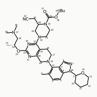 Cc1ccc2c(cnn2C2CCCCO2)c1N1CCc2c(nc(O[C@H](C)CN(C)C)nc2N2CCN(C(=O)OC(C)(C)C)C(CC#N)C2)C1